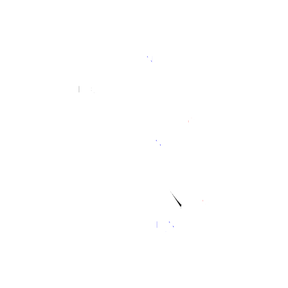 Cc1cncc(C(=O)N2CCC[C@H](C(N)=O)C2)c1